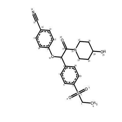 CCS(=O)(=O)c1ccc(C(Oc2ccc(C#N)cc2)C(=O)N2CCC(O)CC2)cc1